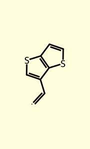 [CH]=Cc1csc2ccsc12